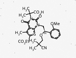 CCOC(=O)c1sc2c(c1C)c(=O)n(C(C)(C)C(=O)O)c(=O)n2C[C@H](OCC(C)(C)C#N)c1ccccc1OC